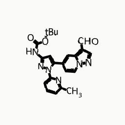 Cc1cccc(-n2nc(NC(=O)OC(C)(C)C)cc2-c2ccn3ncc(C=O)c3c2)n1